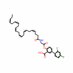 CC/C=C\C/C=C\C/C=C\C/C=C\C/C=C\C/C=C\CCC(=O)NCC(=O)Oc1ccc(-c2ccc(F)cc2F)cc1C(=O)O